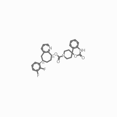 O=C1Nc2ccccc2C2(CCN(C(=O)O[C@@H]3CC[C@@H](c4cccc(F)c4F)Cc4cccnc43)CC2)O1